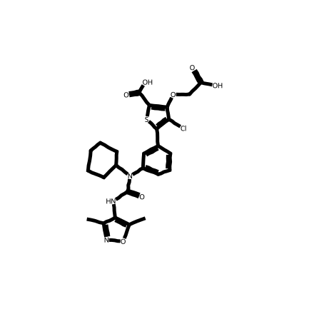 Cc1noc(C)c1NC(=O)N(c1cccc(-c2sc(C(=O)O)c(OCC(=O)O)c2Cl)c1)C1CCCCC1